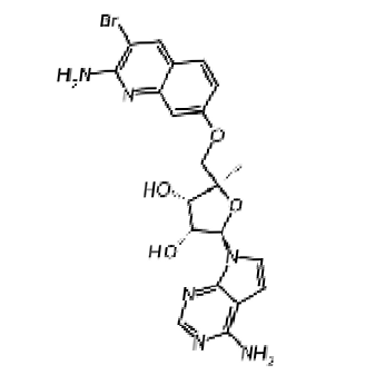 C[C@]1(COc2ccc3cc(Br)c(N)nc3c2)O[C@@H](n2ccc3c(N)ncnc32)[C@H](O)[C@@H]1O